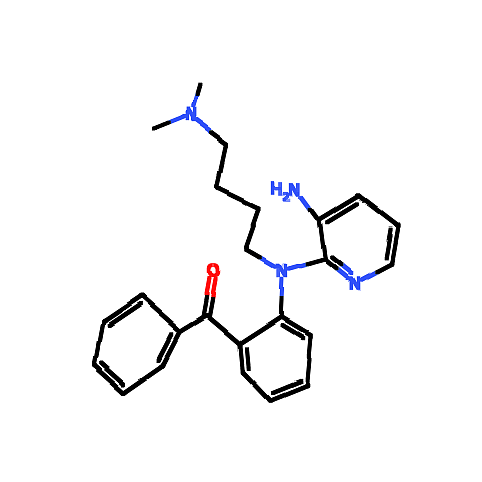 CN(C)CCCCN(c1ccccc1C(=O)c1ccccc1)c1ncccc1N